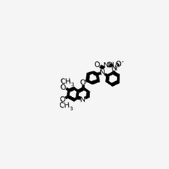 COc1cc2nccc(Oc3ccc(N(C(N)=O)c4ccccc4[N+](=O)[O-])cc3)c2cc1OC